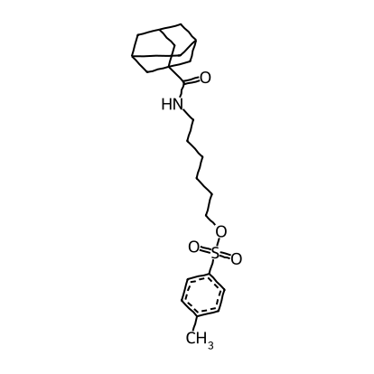 Cc1ccc(S(=O)(=O)OCCCCCCNC(=O)C23CC4CC(CC(C4)C2)C3)cc1